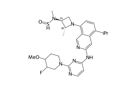 COC1CCN(c2nccc(Nc3cc4c(C(C)C)ccc(N5C[C@H](N(C)[SH]=O)[C@H]5C)c4cn3)n2)CC1F